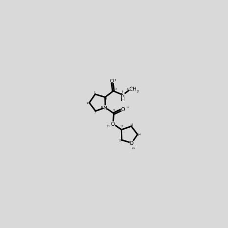 CNC(=O)C1CCCN1C(=O)OC1CCOC1